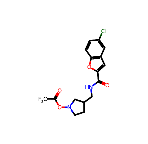 O=C(NCC1CCN(OC(=O)C(F)(F)F)C1)c1cc2cc(Cl)ccc2o1